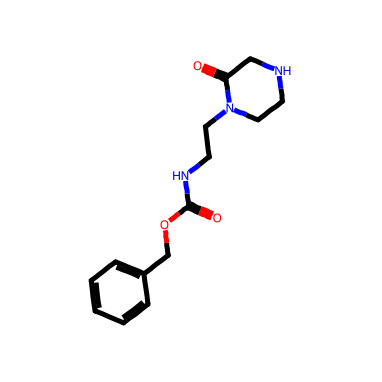 O=C(NCCN1CCNCC1=O)OCc1ccccc1